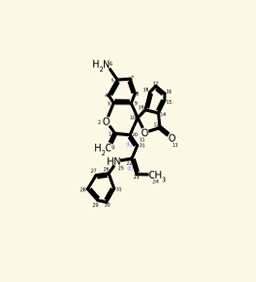 C=C1Oc2cc(N)ccc2C2(OC(=O)c3ccccc32)/C1=C/C(=C\C)Nc1ccccc1